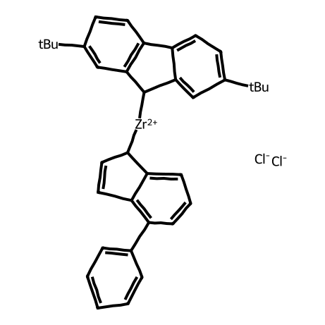 CC(C)(C)c1ccc2c(c1)[CH]([Zr+2][CH]1C=Cc3c(-c4ccccc4)cccc31)c1cc(C(C)(C)C)ccc1-2.[Cl-].[Cl-]